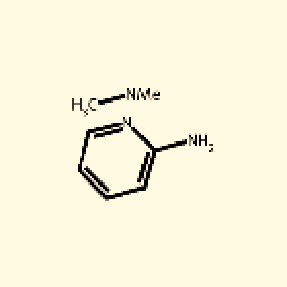 CNC.Nc1ccccn1